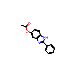 CC(=O)Oc1ccc2[nH]c(-c3ccccc3)nc2c1